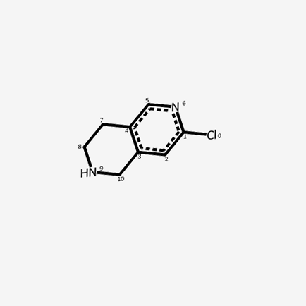 Clc1cc2c(cn1)CCNC2